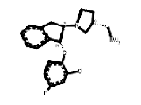 NC[C@H]1CCN([C@@H]2Cc3ccccc3[C@H]2Oc2ccc(F)cc2Cl)C1